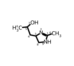 CC1=NC(CC(C)O)CN1